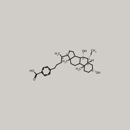 CC[C@H]1[C@@H](O)C2C3CC[C@H]([C@H](C)CCCc4ccc(C(=O)O)cc4)C3(C)CCC2C2(C)CC[C@@H](O)C[C@@H]12